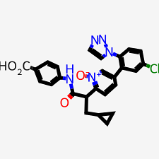 O=C(O)c1ccc(NC(=O)C(CC2CC2)c2ccc(-c3cc(Cl)ccc3-n3ccnn3)c[n+]2[O-])cc1